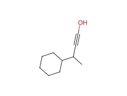 CC(C#CO)C1CCCCC1